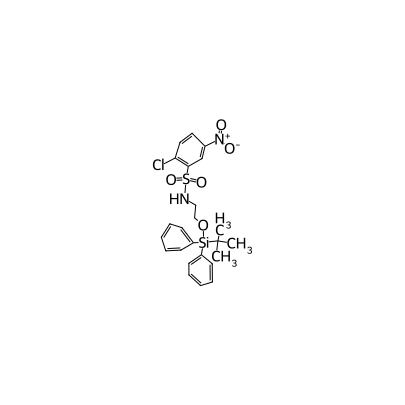 CC(C)(C)[Si](OCCNS(=O)(=O)c1cc([N+](=O)[O-])ccc1Cl)(c1ccccc1)c1ccccc1